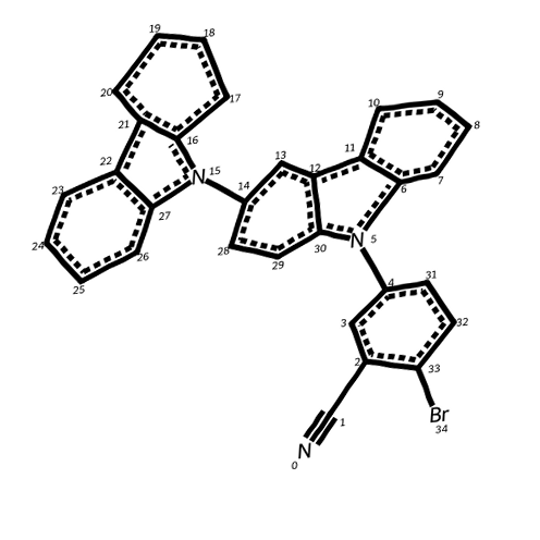 N#Cc1cc(-n2c3ccccc3c3cc(-n4c5ccccc5c5ccccc54)ccc32)ccc1Br